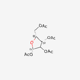 CC(=O)OC[C@H]1O[C@@H](OC(C)=O)C(OC(C)=O)[C@H]1OC(C)=O